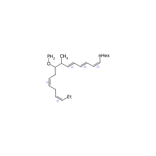 CC/C=C\C/C=C\CC(OP)C(C)/C=C/C=C/C=C\CCCCCC